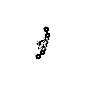 O=C(O)N(CCCN(Cc1ccc(-c2ccccc2)cc1)C(=O)OCc1cncs1)Cc1ccc(-c2ccccc2)cc1